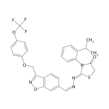 CC(C)c1ccccc1N1C(=O)CS/C1=N\N=C/c1ccc2c(COc3ccc(OC(F)(F)F)cc3)noc2c1